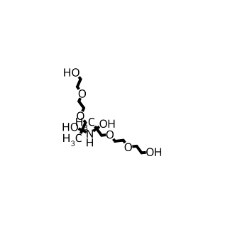 CC(O)(COCCOCCO)NC(C)(O)COCCOCCO